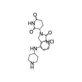 Cl.O=C1CCC(N2Cc3c(NC4CCNCC4)cccc3C2=O)C(=O)N1